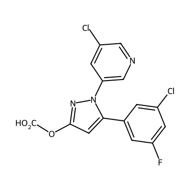 O=C(O)Oc1cc(-c2cc(F)cc(Cl)c2)n(-c2cncc(Cl)c2)n1